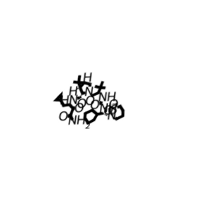 CC(C)(C)[C@H](NC(=O)N[C@H](CN1CCCCS1(=O)=O)C1CCCCC1)C(=O)N1C[C@H]2[C@@H]([C@H]1C(=O)NC(CC1CC1)C(=O)C(N)=O)C2(C)C